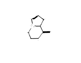 C=C1CCCN2C=CCC12